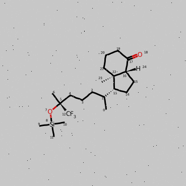 CC(CCC[C@@](C)(O[Si](C)(C)C)C(F)(F)F)[C@H]1CC[C@H]2C(=O)CCC[C@]12C